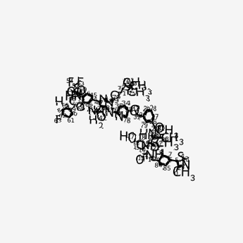 Cc1ncsc1-c1ccc(CNC(=O)[C@@H]2C[C@@H](O)CN2C(=O)C(NC(=O)c2cccc(COc3ccc(Nc4c(C(N)=O)c(-c5ccc(NS(=O)(=O)C(F)F)c(OC(C)c6ccc(F)cc6)c5)nn4COCC[Si](C)(C)C)nc3)c2)C(C)(C)C)cc1